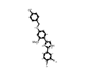 COc1cc(OCc2ccc(Cl)cc2)ccc1-c1c[nH]c(-c2ccc(F)c(F)c2)n1